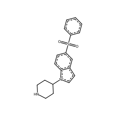 O=S(=O)(c1ccccc1)c1ccc2c(ccn2C2CCNCC2)c1